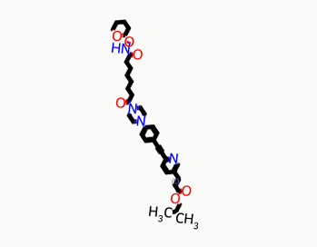 CC(C)COC(=O)/C=C/c1ccc(C#Cc2ccc(N3CCN(C(=O)CCCCCCC(=O)NOC4CCCCO4)CC3)cc2)nc1